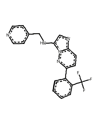 FC(F)(F)c1ccccc1-c1ccc2ncc(NCc3ccncc3)n2n1